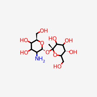 C[C@]1(O[C@H]2O[C@H](CO)C(O)C(O)C2N)OC(CO)[C@@H](O)C(O)C1O